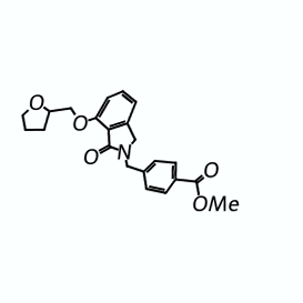 COC(=O)c1ccc(CN2Cc3cccc(OCC4CCCO4)c3C2=O)cc1